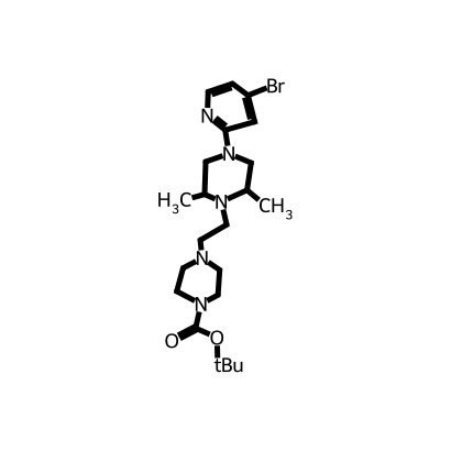 CC1CN(c2cc(Br)ccn2)CC(C)N1CCN1CCN(C(=O)OC(C)(C)C)CC1